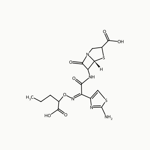 CCCC(O/N=C(\C(=O)NC1C(=O)N2CC(C(=O)O)S[C@H]12)c1csc(N)n1)C(=O)O